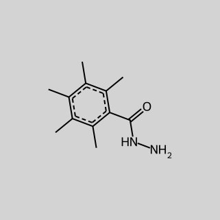 Cc1c(C)c(C)c(C(=O)NN)c(C)c1C